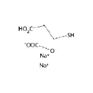 O=C(O)CCS.O=C([O-])[O-].[Na+].[Na+]